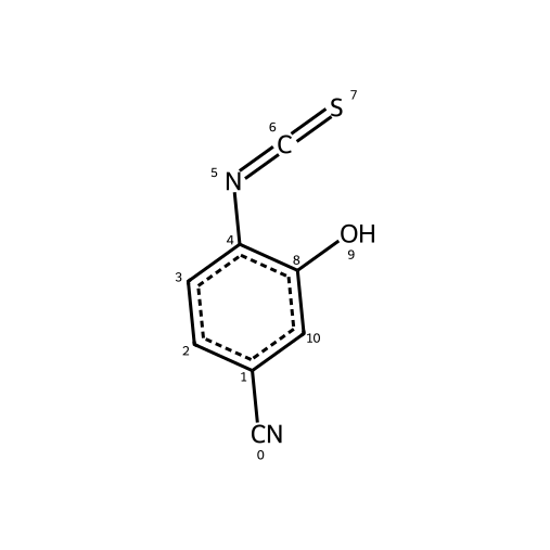 N#Cc1ccc(N=C=S)c(O)c1